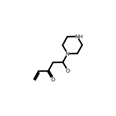 C=CC(=O)CC([O])N1CCNCC1